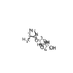 Cc1cncnc1O[C@@H]1CO[C@H]2[C@@H]1OC[C@H]2O